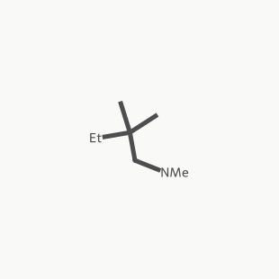 [CH2]NCC(C)(C)CC